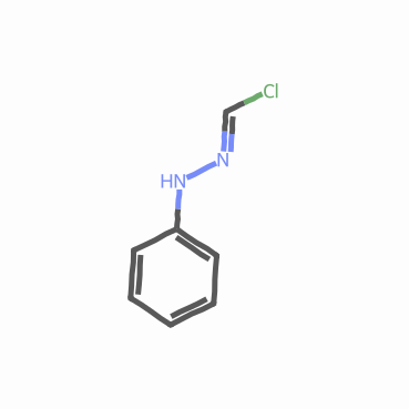 ClC=NNc1ccccc1